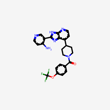 Nc1ccncc1-c1nc2c(C3CCN(C(=O)c4ccc(OC(F)(F)F)cc4)CC3)ccnc2[nH]1